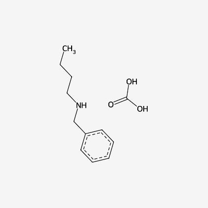 CCCCNCc1ccccc1.O=C(O)O